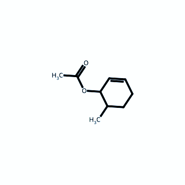 CC(=O)OC1C=CCCC1C